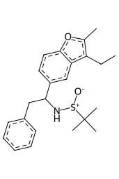 CCc1c(C)oc2ccc(C(Cc3ccccc3)N[S+]([O-])C(C)(C)C)cc12